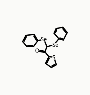 O=C(c1cccs1)C([Se]c1ccccc1)[Se]c1ccccc1